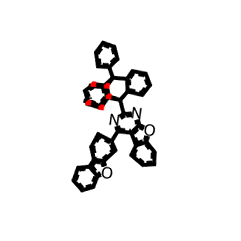 c1ccc(C23c4ccccc4C(c4nc(-c5ccc6c(c5)oc5ccccc56)c5c(n4)oc4ccccc45)(c4ccccc42)c2ccccc23)cc1